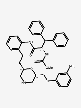 COC(=O)N[C@H](C(=O)Nc1cccnc1CC[C@@H]1CNC[C@@H](COc2cccc(N)c2)O1)C(c1ccccc1)c1ccccc1